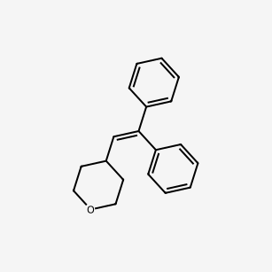 C(=C(c1ccccc1)c1ccccc1)C1CCOCC1